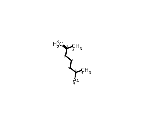 C=C(C)CCCC(C)C(C)=O